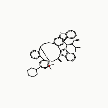 C=C/C(=C(\CC)n1c2[n+](c3ccccc31)C(=C)C[n+]1cc3c(C4CCCCC4)cc1-c1ccccc1C(CCc1cc4sc5ccccc5c4cc1-2)CC[Si]3(C)C)C(C)C